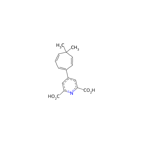 CC1(C)C=CC=C(c2cc(C(=O)O)nc(C(=O)O)c2)C=C1